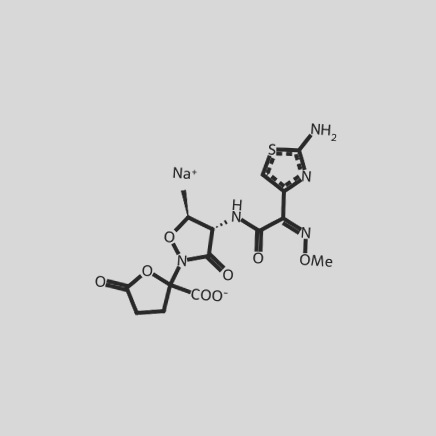 CO/N=C(\C(=O)N[C@@H]1C(=O)N(C2(C(=O)[O-])CCC(=O)O2)O[C@H]1C)c1csc(N)n1.[Na+]